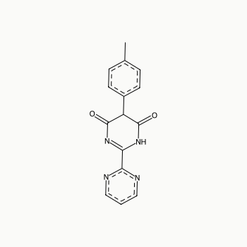 Cc1ccc(C2C(=O)N=C(c3ncccn3)NC2=O)cc1